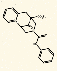 CCOC(=O)C12Cc3ccccc3C(CN(C(=O)Nc3ccccc3)C1)C2=O